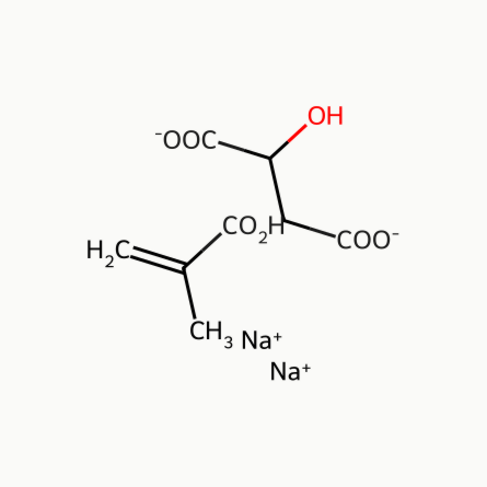 C=C(C)C(=O)O.O=C([O-])CC(O)C(=O)[O-].[Na+].[Na+]